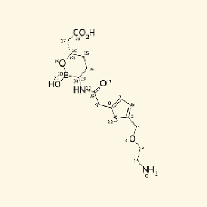 NCCOCc1ccc(CC(=O)N[C@H]2CC[C@@H](CC(=O)O)OB2O)s1